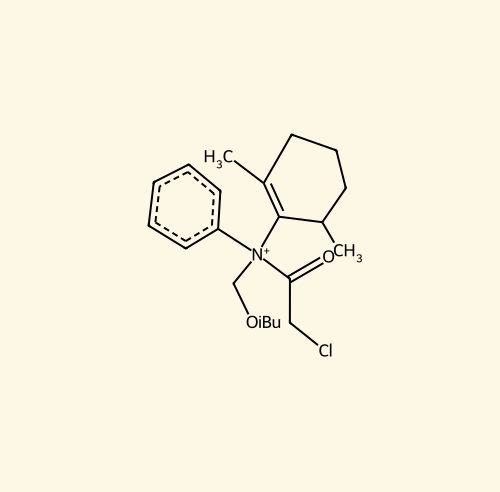 CC1=C([N+](COCC(C)C)(C(=O)CCl)c2ccccc2)C(C)CCC1